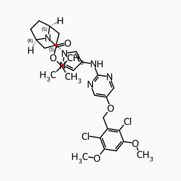 COc1cc(OC)c(Cl)c(COc2cnc(Nc3cnn([C@@H]4C[C@H]5CC[C@@H](C4)N5C(=O)OC(C)(C)C)c3)nc2)c1Cl